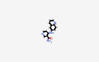 NC(=O)c1cnccc1Nc1ccc2ncccc2c1